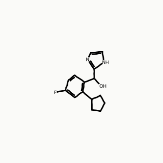 OC(c1ncc[nH]1)c1ccc(F)cc1C1CCCC1